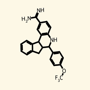 N=C(N)c1ccc2c(c1)C1c3ccccc3CC1C(c1ccc(OC(F)(F)F)cc1)N2